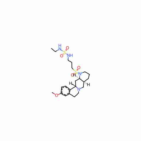 CCNS(=O)(=O)NCCCS(=O)(=O)N1CCC[C@H]2CN3CCc4cc(OC)ccc4[C@@H]3C[C@H]21